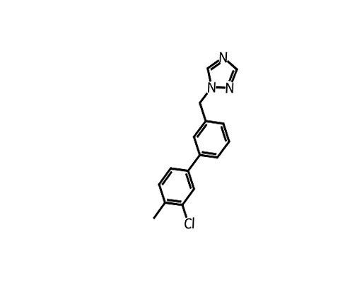 Cc1ccc(-c2cccc(Cn3cncn3)c2)cc1Cl